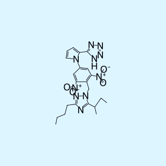 CCCCc1nc(C(C)CC)n(Cc2c([N+](=O)[O-])cc(-n3cccc3-c3nnn[nH]3)cc2[N+](=O)[O-])n1